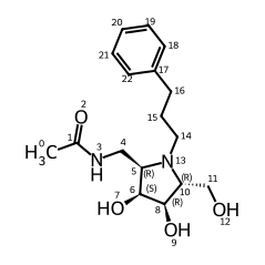 CC(=O)NC[C@@H]1[C@H](O)[C@H](O)[C@@H](CO)N1CCCc1ccccc1